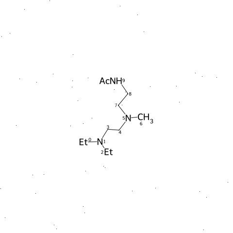 CCN(CC)CCN(C)CCNC(C)=O